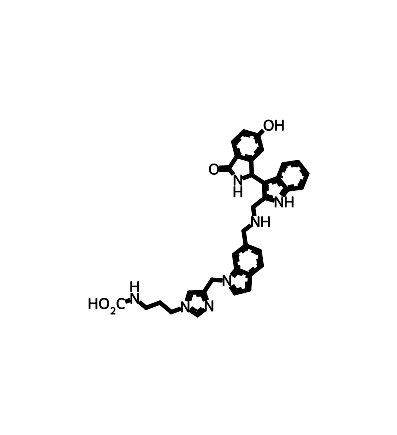 O=C(O)NCCCn1cnc(Cn2ccc3ccc(CNCc4[nH]c5ccccc5c4C4NC(=O)c5ccc(O)cc54)cc32)c1